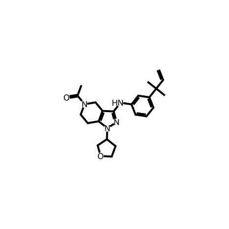 C=CC(C)(C)c1cccc(Nc2nn(C3CCOC3)c3c2CN(C(C)=O)CC3)c1